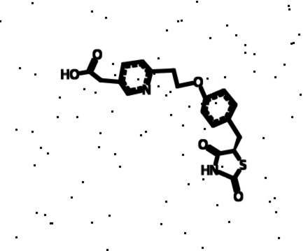 O=C(O)Cc1ccc(CCOc2ccc(C[C@H]3SC(=O)NC3=O)cc2)nc1